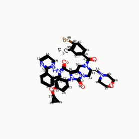 O=C(NCc1ccccc1-c1ncccn1)c1c2n(c(=O)n1-c1ccc(OC3CC3)cc1)C[C@@H](CN1CCOCC1)N(C(=O)c1ccc(Br)c(C(F)(F)F)c1)C2